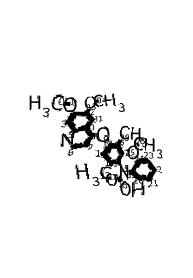 COc1cc2nccc(Oc3cc(C)c(N(C(=O)O)c4ccccc4OC)cc3C)c2cc1OC